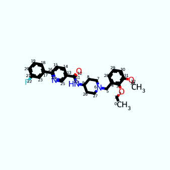 CCOc1c(CN2CCC(NC(=O)c3ccc(-c4cccc(F)c4)nc3)CC2)cccc1OC